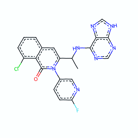 CC(Nc1ncnc2[nH]cnc12)c1cc2cccc(Cl)c2c(=O)n1-c1ccc(F)nc1